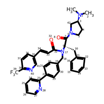 CN(C)[C@H]1CCN(C(=O)[C@H](Cc2ccccc2)N(Cc2ccc(-c3ccccn3)cc2)C(=O)C=Cc2ccc(C(F)(F)F)nc2)C1